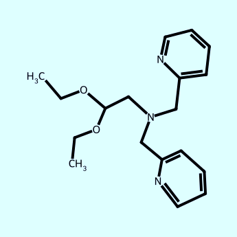 CCOC(CN(Cc1ccccn1)Cc1ccccn1)OCC